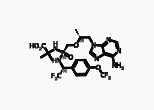 C[C@H](Cn1cnc2c(N)ncnc21)OC[P@@](=O)(N[C@H](c1ccc(OC(F)(F)F)cc1)C(F)(F)F)NC(C)(C)C(=O)O